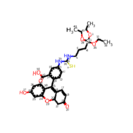 CCO[Si](CCCN[C@@H](S)Nc1ccc(C2=C3C=CC(=O)CC3Oc3cc(O)ccc32)c(C(=O)O)c1)(OCC)OCC